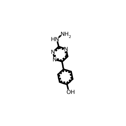 NNc1ncc(-c2ccc(O)cc2)nn1